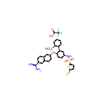 N=C(N)c1ccc2cc(Oc3ccc(NS(=O)(=O)c4ccc(Cl)s4)cc3-c3ccccc3C(=O)O)ccc2c1.O=C(O)C(F)(F)F